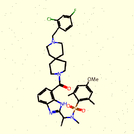 COc1cc(C)c(S(=O)(=O)N(C)C(C)c2nc3cccc(C(=O)N4CCC5(CCN(Cc6ccc(F)cc6Cl)CC5)CC4)c3[nH]2)c(C)c1